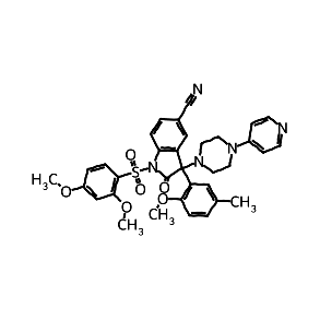 COc1ccc(S(=O)(=O)N2C(=O)C(c3cc(C)ccc3OC)(N3CCN(c4ccncc4)CC3)c3cc(C#N)ccc32)c(OC)c1